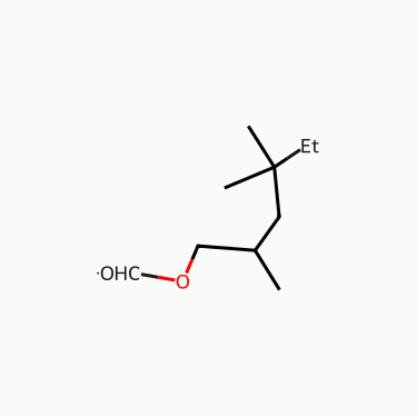 CCC(C)(C)CC(C)CO[C]=O